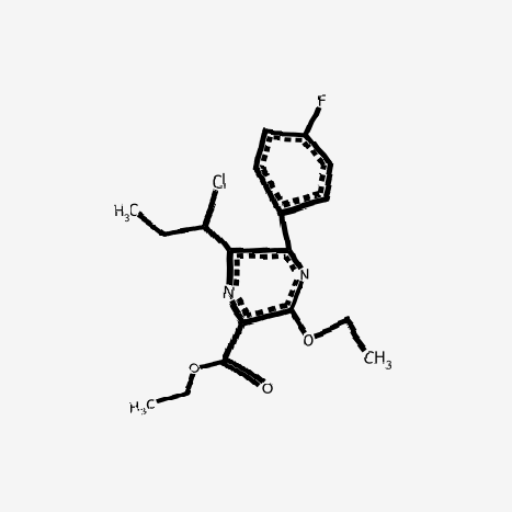 CCOC(=O)c1nc(C(Cl)CC)c(-c2ccc(F)cc2)nc1OCC